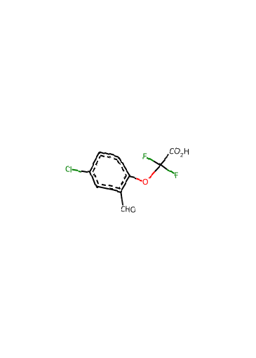 O=Cc1cc(Cl)ccc1OC(F)(F)C(=O)O